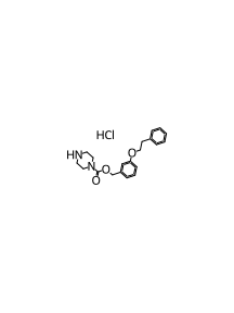 Cl.O=C(OCc1cccc(OCCc2ccccc2)c1)N1CCNCC1